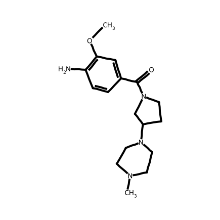 COc1cc(C(=O)N2CCC(N3CCN(C)CC3)C2)ccc1N